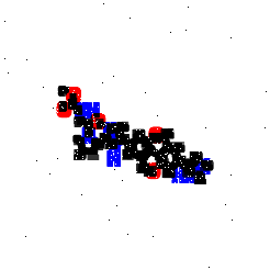 COC(=O)NCC(=O)N1CCC[C@H]1c1ncc(-c2cc3c4c(c2)OCc2cc(-c5cnc[nH]5)cc(c2-4)OC3)[nH]1